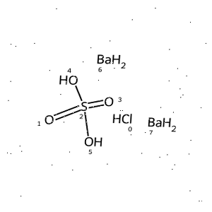 Cl.O=S(=O)(O)O.[BaH2].[BaH2]